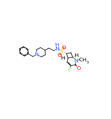 CN1C(=O)C(F)=C[C@@H]2[C@H]1C[C@H]2S(=O)(=O)NCCC1CCN(Cc2ccccc2)CC1